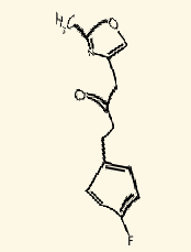 Cc1nc(CC(=O)CCc2ccc(F)cc2)co1